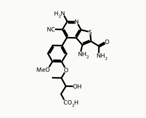 COc1ccc(-c2c(C#N)c(N)nc3sc(C(N)=O)c(N)c23)cc1OC(C)C(O)CC(=O)O